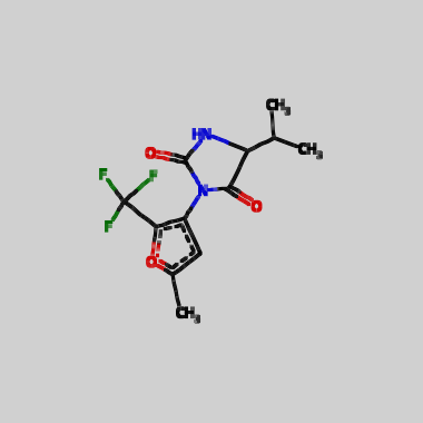 Cc1cc(N2C(=O)NC(C(C)C)C2=O)c(C(F)(F)F)o1